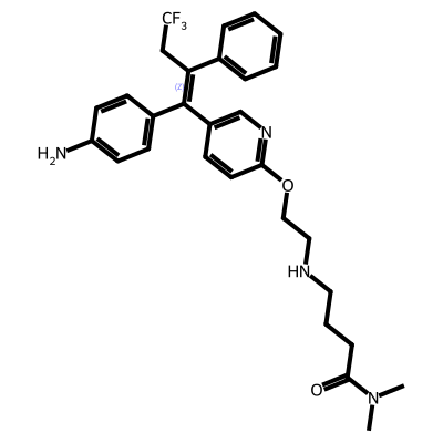 CN(C)C(=O)CCCNCCOc1ccc(/C(=C(/CC(F)(F)F)c2ccccc2)c2ccc(N)cc2)cn1